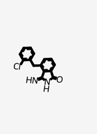 N=C1NC(=O)c2cccc(Cc3ccccc3Cl)c21